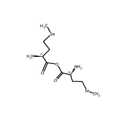 C[Se]CC[C@H](N)C(=O)OC(=O)[C@@H](N)CC[Se]C